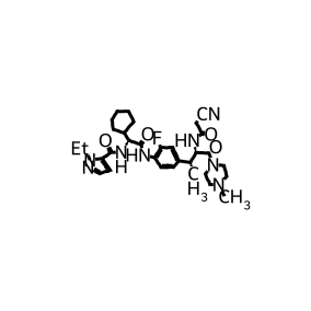 CCn1nccc1C(=O)N[C@H](C(=O)Nc1ccc([C@H](C)[C@@H](NC(=O)CC#N)C(=O)N2CCN(C)CC2)cc1F)C1CCCCC1